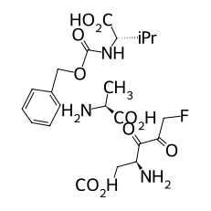 CC(C)[C@H](NC(=O)OCc1ccccc1)C(=O)O.C[C@H](N)C(=O)O.N[C@@H](CC(=O)O)C(=O)C(=O)CF